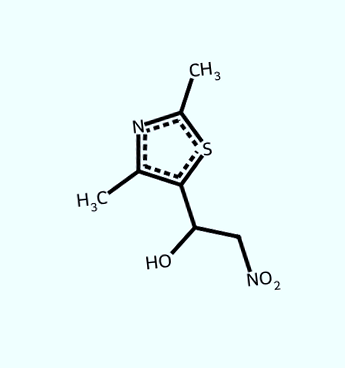 Cc1nc(C)c(C(O)C[N+](=O)[O-])s1